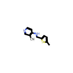 Cc1ccc(CNc2ccncc2C#N)s1